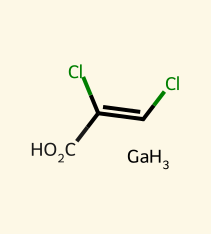 O=C(O)C(Cl)=CCl.[GaH3]